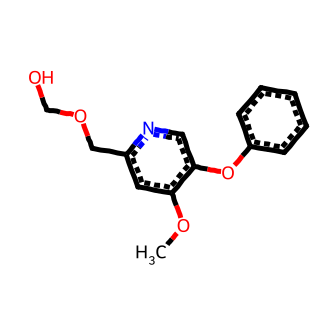 COc1cc(COCO)ncc1Oc1ccccc1